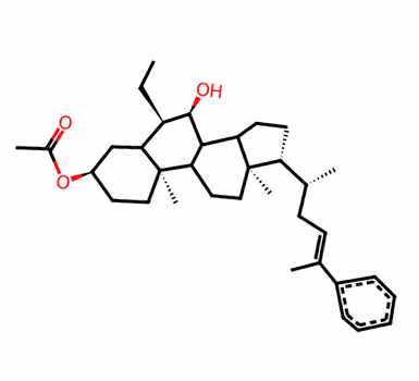 CC[C@@H]1C2C[C@H](OC(C)=O)CC[C@]2(C)C2CC[C@@]3(C)C(CC[C@@H]3[C@H](C)C/C=C(\C)c3ccccc3)C2[C@@H]1O